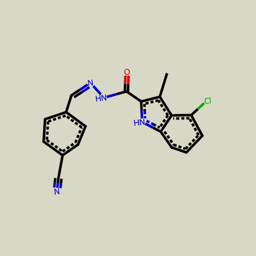 Cc1c(C(=O)N/N=C\c2ccc(C#N)cc2)[nH]c2cccc(Cl)c12